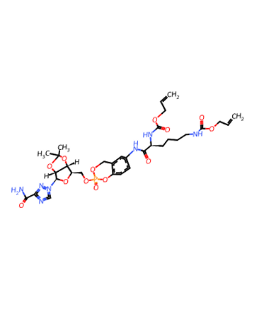 C=CCOC(=O)NCCCC[C@H](NC(=O)OCC=C)C(=O)Nc1ccc2c(c1)COP(=O)(OC[C@H]1O[C@@H](n3cnc(C(N)=O)n3)[C@@H]3OC(C)(C)O[C@@H]31)O2